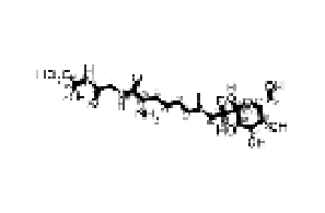 C[C@H](NC(=O)CNC(=O)[C@@H](N)CCCCNCC(F)(F)C1(O)O[C@H](CO)[C@H](O)[C@H](O)[C@H]1O)C(=O)O